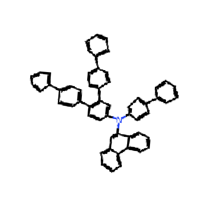 c1ccc(-c2ccc(-c3ccc(N(c4ccc(-c5ccccc5)cc4)c4cc5ccccc5c5ccccc45)cc3-c3ccc(-c4ccccc4)cc3)cc2)cc1